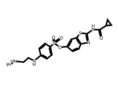 CC(C)NCCNc1ccc(S(=O)(=O)Oc2ccc3nc(NC(=O)C4CC4)sc3c2)cc1